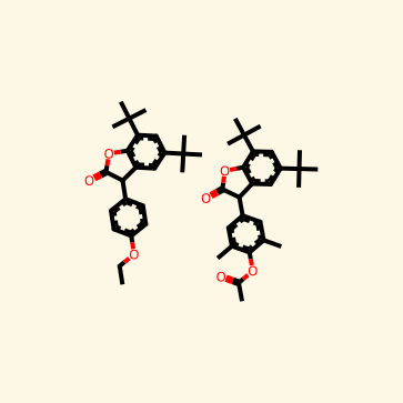 CC(=O)Oc1c(C)cc(C2C(=O)Oc3c2cc(C(C)(C)C)cc3C(C)(C)C)cc1C.CCOc1ccc(C2C(=O)Oc3c2cc(C(C)(C)C)cc3C(C)(C)C)cc1